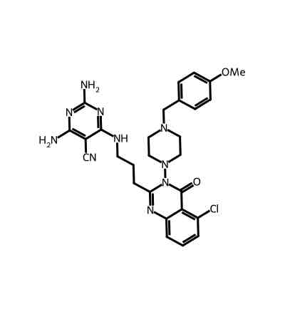 COc1ccc(CN2CCN(n3c(CCCNc4nc(N)nc(N)c4C#N)nc4cccc(Cl)c4c3=O)CC2)cc1